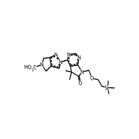 CC1(C)C(=O)N(COCC[Si](C)(C)C)c2ncnc(-n3cc4c(n3)CN(C(=O)O)C4)c21